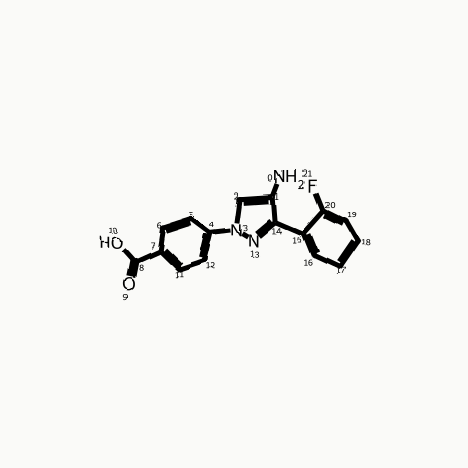 Nc1cn(-c2ccc(C(=O)O)cc2)nc1-c1ccccc1F